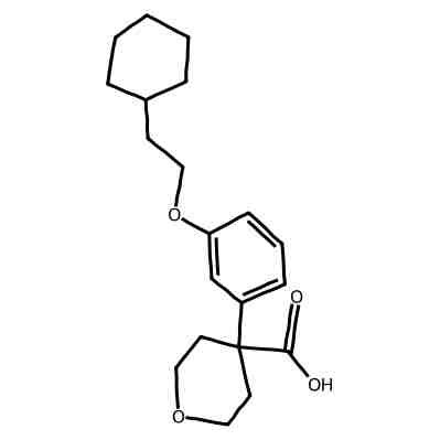 O=C(O)C1(c2cccc(OCCC3CCCCC3)c2)CCOCC1